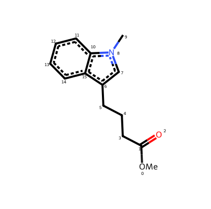 COC(=O)CCCc1cn(C)c2ccccc12